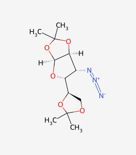 CC1(C)O[C@@H]2O[C@@H]([C@H]3COC(C)(C)O3)[C@@H](N=[N+]=[N-])[C@@H]2O1